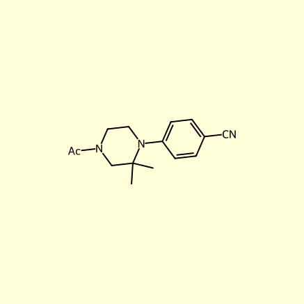 CC(=O)N1CCN(c2ccc(C#N)cc2)C(C)(C)C1